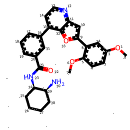 COc1ccc(OC)c(-c2cc3nccc(-c4cccc(C(=O)N[C@@H]5CCCC[C@@H]5N)c4)c3o2)c1